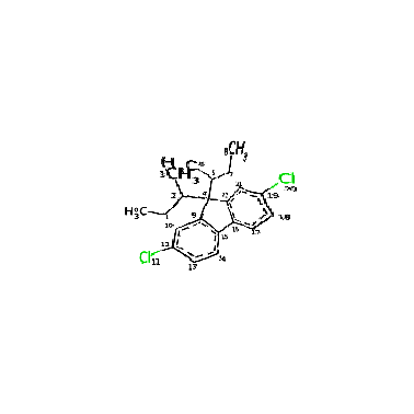 CCC(C)C1(C(C)CC)c2cc(Cl)ccc2-c2ccc(Cl)cc21